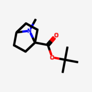 CN1C2CCC1(C(=O)OC(C)(C)C)CC2